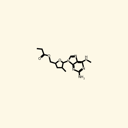 CCC(=O)OCC1CC(C)C(n2cnc3c(NC)nc(N)nc32)O1